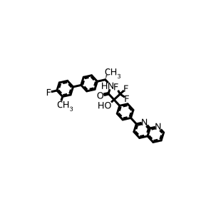 Cc1cc(-c2ccc([C@H](C)NC(=O)C(O)(c3ccc(-c4ccc5cccnc5n4)cc3)C(F)(F)F)cc2)ccc1F